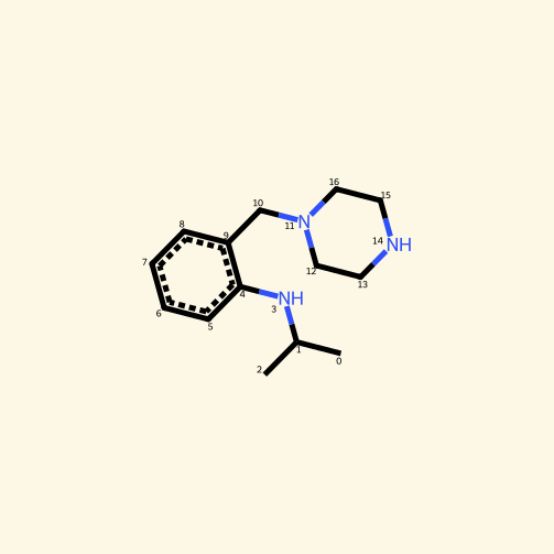 CC(C)Nc1ccccc1CN1CCNCC1